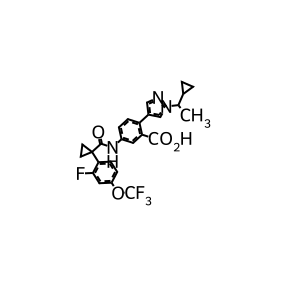 CC(C1CC1)n1cc(-c2ccc(NC(=O)C3(c4ccc(OC(F)(F)F)cc4F)CC3)cc2C(=O)O)cn1